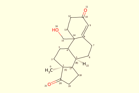 C[C@]12CCC3[C@@H](CCC4=CC(=O)CCC43CO)C1CCC2=O